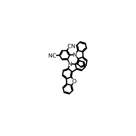 N#Cc1cc(C#N)c(-n2c3ccccc3c3ccccc32)c(-n2c3ccccc3c3c4oc5ccccc5c4ccc32)c1